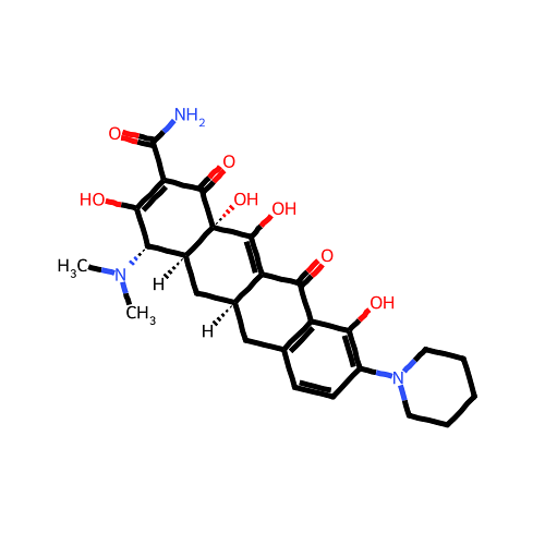 CN(C)[C@@H]1C(O)=C(C(N)=O)C(=O)[C@@]2(O)C(O)=C3C(=O)c4c(ccc(N5CCCCC5)c4O)C[C@H]3C[C@@H]12